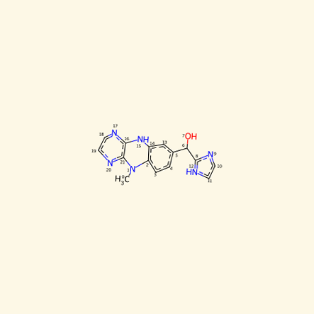 CN1c2ccc(C(O)c3ncc[nH]3)cc2Nc2nccnc21